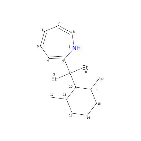 CCC(CC)(C1=CC=CC=CN1)C1C(C)CCCC1C